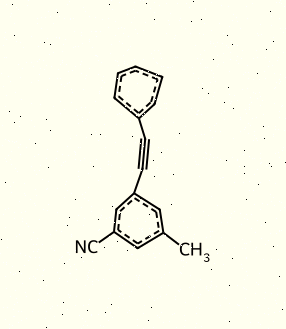 Cc1cc(C#N)cc(C#Cc2ccccc2)c1